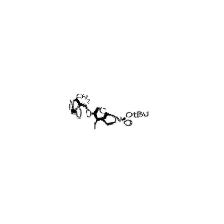 Cc1ncoc1COc1ccc2c(c1I)CCN(C(=O)OC(C)(C)C)C2